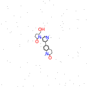 CN1C(=O)CCc2cc(-c3cncc(N4C(=O)CCC4CO)c3)ccc21